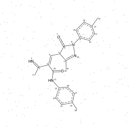 CC(=N)/C(=C/C1C(=O)N(c2ccc(C)cc2)N=C1C)C(=O)Nc1ccc(C)cc1